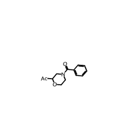 CC(=O)C1CN(C(=O)c2ccccc2)CCO1